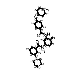 Cc1ccc(NC(=O)c2cccc(N3CCOCC3)c2)cc1NC(=O)c1ccc(OC2CCNCC2)cc1